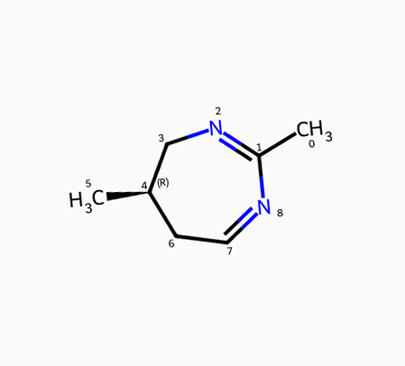 CC1=NC[C@H](C)CC=N1